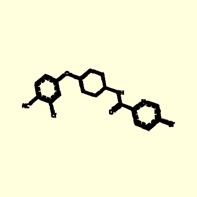 N#Cc1ccc(OC2CCC(NC(=O)c3ccc(Br)cn3)CC2)cc1Cl